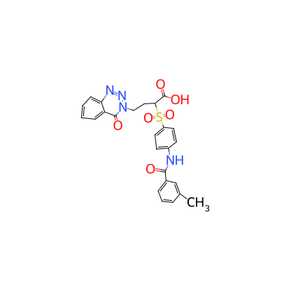 Cc1cccc(C(=O)Nc2ccc(S(=O)(=O)C(CCn3nnc4ccccc4c3=O)C(=O)O)cc2)c1